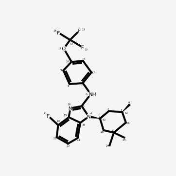 C[C@@H]1C[C@H](n2c(Nc3ccc(OC(F)(F)F)cc3)nc3c(F)cccc32)CC(C)(C)C1